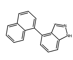 [c]1n[nH]c2cccc(-c3cccc4ccccc34)c12